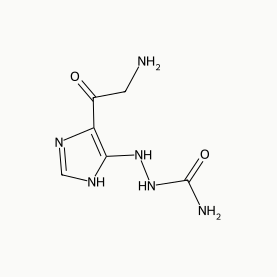 NCC(=O)c1nc[nH]c1NNC(N)=O